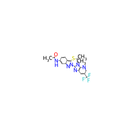 CCSc1c2ccc(NC(C)=O)cc2nn1-c1nc2cc(C(F)(F)F)cnc2n1C